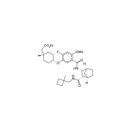 CCOC(=O)C[C@]1(C)CC[C@H](Oc2cc(C(=O)N[C@@H]3[C@H]4CC[C@H](C4)[C@@H]3C(=O)NCC3(C)CCC3)c(OC)cc2F)CC1